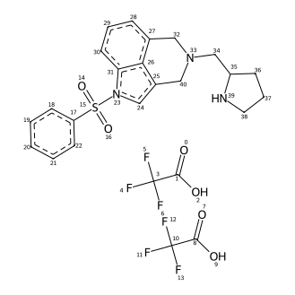 O=C(O)C(F)(F)F.O=C(O)C(F)(F)F.O=S(=O)(c1ccccc1)n1cc2c3c(cccc31)CN(CC1CCCN1)C2